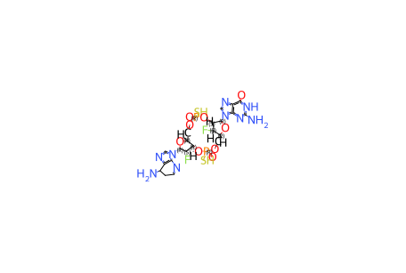 Nc1nc2c(ncn2[C@@H]2O[C@@H]3CO[P@@](=O)(S)O[C@H]4[C@H](F)[C@H](n5cnc6c5N=CCC6N)O[C@@H]4CO[P@@](=O)(S)O[C@@H]2[C@H]3F)c(=O)[nH]1